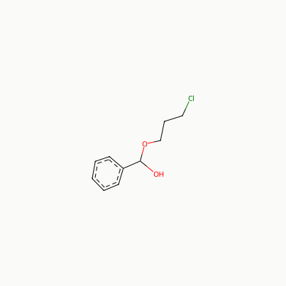 OC(OCCCCl)c1ccccc1